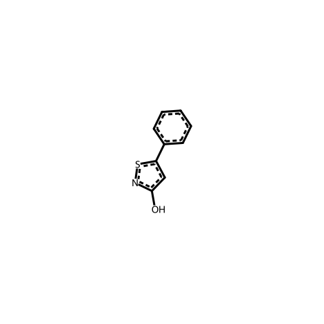 Oc1cc(-c2ccccc2)sn1